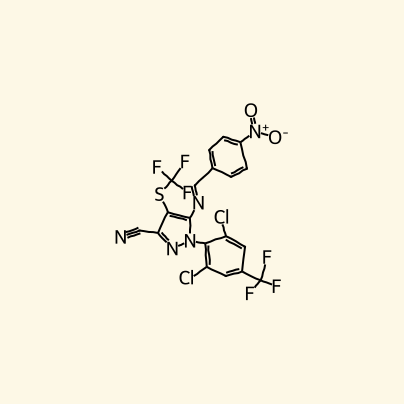 N#Cc1nn(-c2c(Cl)cc(C(F)(F)F)cc2Cl)c(N=Cc2ccc([N+](=O)[O-])cc2)c1SC(F)(F)F